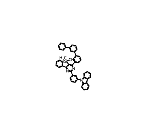 C[Si]1(C)c2ccccc2-c2nc(-c3cccc(-n4c5ccccc5c5ccccc54)c3)nc(-c3cccc(-c4cccc(-c5ccccc5)c4)c3)c21